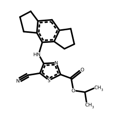 CC(C)OC(=O)c1nc(Nc2c3c(cc4c2CCC4)CCC3)c(C#N)s1